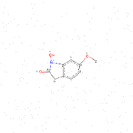 COc1ccc2c(c1)N(O)C(=O)C2